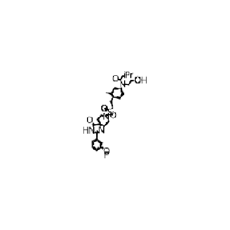 Cc1cc(N(CCO)C(=O)C(C)C)ccc1CCS(=O)(=O)N1CCC2(CC1)N=C(c1cccc(OF)c1)NC2=O